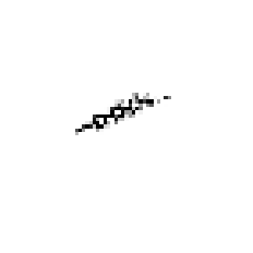 CC#Cc1ccc(-c2ccc(C3CCC(C=CCCC)CC3)cc2)cc1